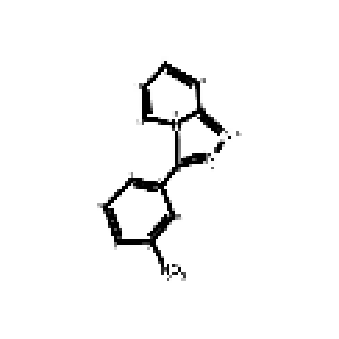 O=[N+]([O-])c1cccc(-c2nnc3ccccn23)c1